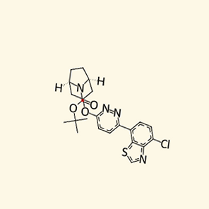 CC(C)(C)OC(=O)N1[C@@H]2CC[C@H]1CC(Oc1ccc(-c3ccc(Cl)c4ncsc34)nn1)C2